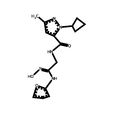 Cc1cc(C(=O)NCC(=NO)Nc2ccco2)n(C2CCC2)n1